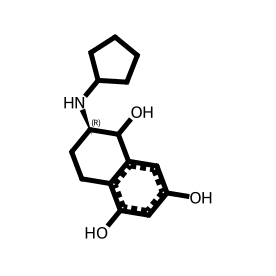 Oc1cc(O)c2c(c1)C(O)[C@H](NC1CCCC1)CC2